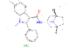 Cc1ccc2c(C(=O)N[C@H]3C[C@H]4CC[C@@H](C3)N4)c(-c3ccccc3)n(C)c2c1.Cl